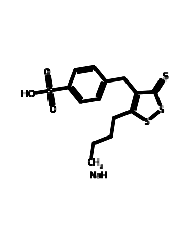 CCCCc1ssc(=S)c1Cc1ccc(S(=O)(=O)O)cc1.[NaH]